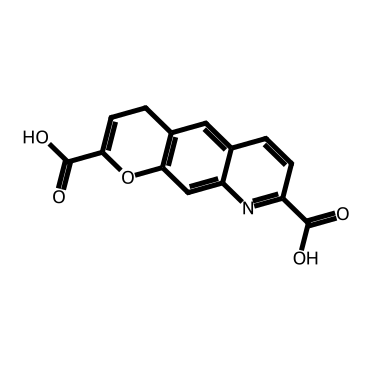 O=C(O)C1=CCc2cc3ccc(C(=O)O)nc3cc2O1